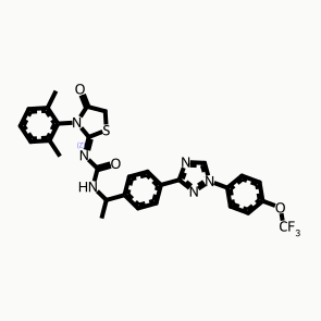 Cc1cccc(C)c1N1C(=O)CS/C1=N\C(=O)NC(C)c1ccc(-c2ncn(-c3ccc(OC(F)(F)F)cc3)n2)cc1